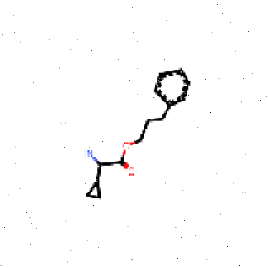 [NH]C(C(=O)OCCCc1ccccc1)C1CC1